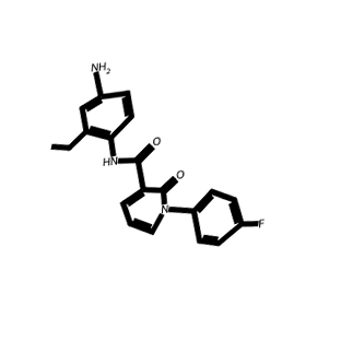 CCc1cc(N)ccc1NC(=O)c1cccn(-c2ccc(F)cc2)c1=O